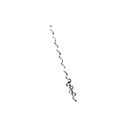 C=COOOOOCCCCCCCCCCCCCCCC